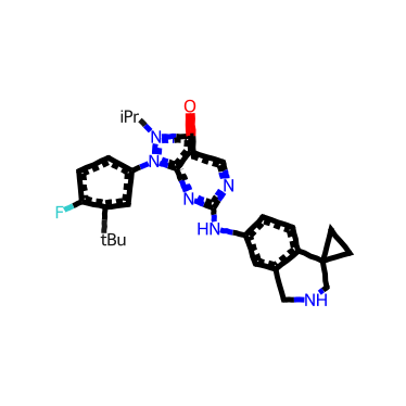 CC(C)n1c(=O)c2cnc(Nc3ccc4c(c3)CNCC43CC3)nc2n1-c1ccc(F)c(C(C)(C)C)c1